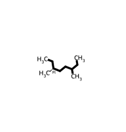 CCC(C)CC[C@H](C)CC